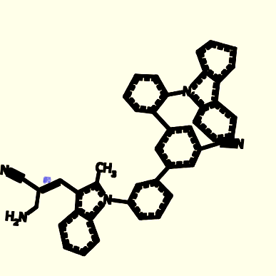 Cc1c(/C=C(/C#N)CN)c2ccccc2n1-c1cccc(-c2cc(C#N)cc(-c3ccccc3-n3c4ccccc4c4ccccc43)c2)c1